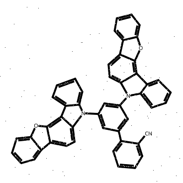 N#Cc1ccccc1-c1cc(-n2c3ccccc3c3c4oc5ccccc5c4ccc32)cc(-n2c3ccccc3c3c4oc5ccccc5c4ccc32)c1